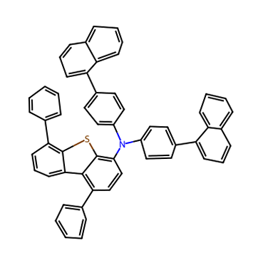 c1ccc(-c2cccc3c2sc2c(N(c4ccc(-c5cccc6ccccc56)cc4)c4ccc(-c5cccc6ccccc56)cc4)ccc(-c4ccccc4)c23)cc1